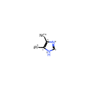 CC(C)c1[nH]cnc1C#N